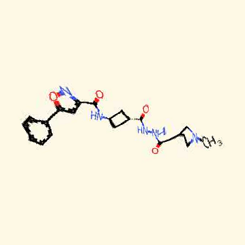 CN1CC(C(=O)NNC(=O)[C@H]2C[C@H](NC(=O)c3cc(-c4ccccc4)on3)C2)C1